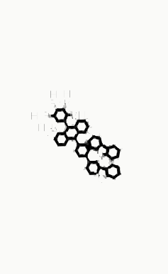 Bc1c(B)c(B)c(-c2c3ccccc3c(-c3ccc(-c4ccc5oc6ccccc6c5c4-n4c5ccccc5c5ccccc54)cc3)c3ccccc23)c(B)c1B